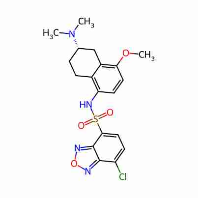 COc1ccc(NS(=O)(=O)c2ccc(Cl)c3nonc23)c2c1C[C@@H](N(C)C)CC2